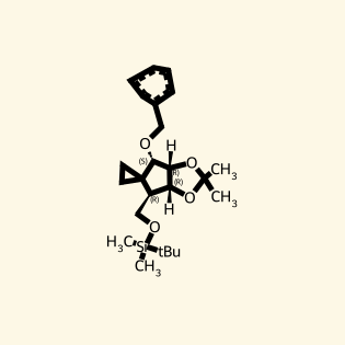 CC1(C)O[C@@H]2[C@H](O1)[C@@H](CO[Si](C)(C)C(C)(C)C)C1(CC1)[C@@H]2OCc1ccccc1